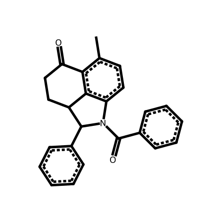 Cc1ccc2c3c1C(=O)CCC3C(c1ccccc1)N2C(=O)c1ccccc1